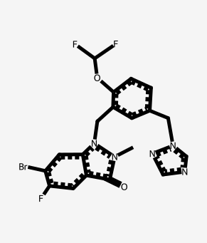 Cn1c(=O)c2cc(F)c(Br)cc2n1Cc1cc(Cn2cncn2)ccc1OC(F)F